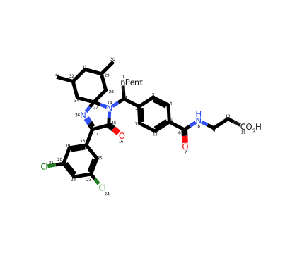 CCCCCC(c1ccc(C(=O)NCCC(=O)O)cc1)N1C(=O)C(c2cc(Cl)cc(Cl)c2)=NC12CC(C)CC(C)C2